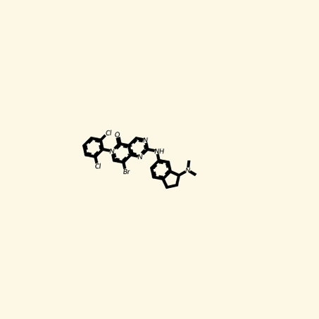 CN(C)C1CCc2ccc(Nc3ncc4c(=O)n(-c5c(Cl)cccc5Cl)cc(Br)c4n3)cc21